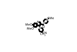 COc1cc2ncc(C(=O)N3CCN(SC)CC3)c(N3CCC(C)(C#N)CC3)c2cc1OC